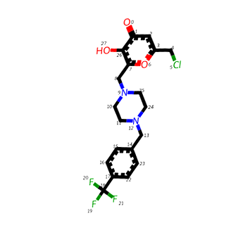 O=c1cc(CCl)oc(CN2CCN(Cc3ccc(C(F)(F)F)cc3)CC2)c1O